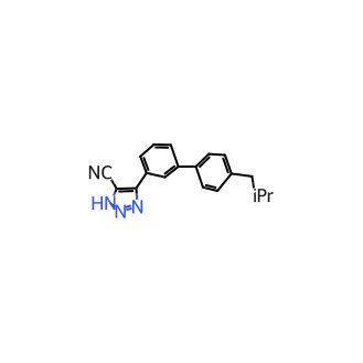 CC(C)Cc1ccc(-c2cccc(-c3nn[nH]c3C#N)c2)cc1